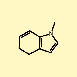 Cn1ccc2c1C=CCC2